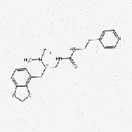 CN(C)[C@H](CNC(=O)NCCc1ccncc1)Cc1cccc2c1OCO2